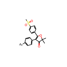 CC(=O)c1ccc(C2=C(c3ccc(S(C)(=O)=O)cc3)OC(C)(C)C2=O)cc1